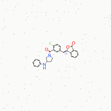 O=C1O/C(=C\c2ccc(F)c(C(=O)N3CCC(Nc4ccccc4)C3)c2)c2ccccc21